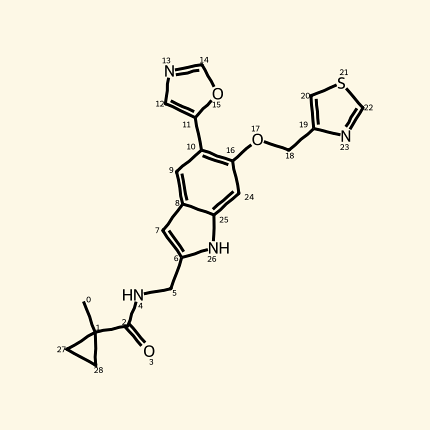 CC1(C(=O)NCc2cc3cc(-c4cnco4)c(OCc4cscn4)cc3[nH]2)CC1